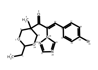 CCC1OCC(C)(C(=O)C(=Cc2ccc(Br)cc2)n2cncn2)CO1